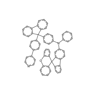 c1ccc(N(c2ccc(C3(c4ccc(-c5ccncc5)cc4)c4ccccc4-c4ccccc43)cc2)c2ccc3c(c2)C2(c4ccccc4Oc4ccccc42)c2ccccc2-3)cc1